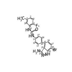 Cc1ccc(F)c(NC(=O)Nc2ccc(-c3ccc(Br)c4[nH]nc(N)c34)cc2)c1